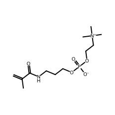 C=C(C)C(=O)NCCCOP(=O)([O-])OCC[N+](C)(C)C